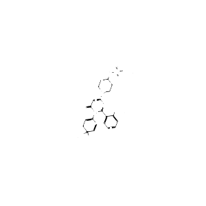 Cc1ccccc1-c1nc(N2CCC(NS(C)(=O)=O)CC2)cc(=O)n1C1=CCC(C)(C(F)(F)F)C=C1